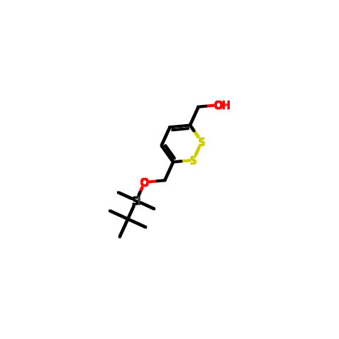 CC(C)(C)[Si](C)(C)OCC1=CC=C(CO)SS1